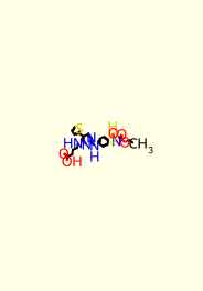 CCOC(=O)N=[SH](=O)c1ccc(Nc2ncc(-c3cccs3)c(NCCCC(=O)O)n2)cc1